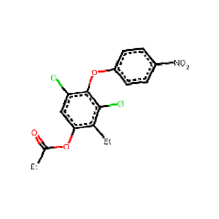 CCC(=O)Oc1cc(Cl)c(Oc2ccc([N+](=O)[O-])cc2)c(Cl)c1CC